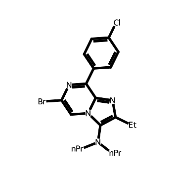 CCCN(CCC)c1c(CC)nc2c(-c3ccc(Cl)cc3)nc(Br)cn12